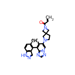 C=CC(=O)N1CC2(CCN(c3cn4ncnc4c(-c4c(C)ccc5[nH]ncc45)c3C#N)C2)C1